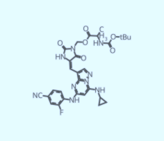 CC(NC(=O)OC(C)(C)C)C(=O)OCN1C(=O)NC(=Cc2cnn3c(NC4CC4)cc(Nc4ccc(C#N)cc4F)nc23)C1=O